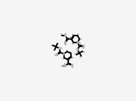 CC(C)(C)OC(=O)N1CCC=C(C(=O)O)C1.COC(=O)C1=CCCN(C(=O)OC(C)(C)C)C1